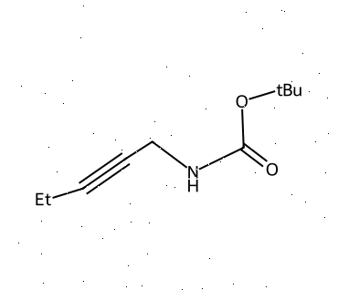 CCC#CCNC(=O)OC(C)(C)C